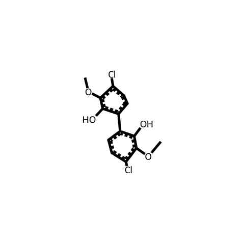 COc1c(Cl)ccc(-c2ccc(Cl)c(OC)c2O)c1O